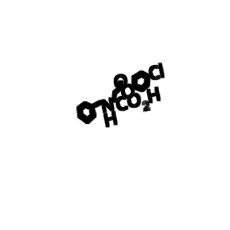 O=C(CC(NCc1ccccc1)C(=O)O)Oc1ccc(Cl)cc1